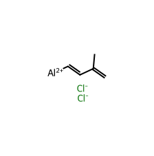 C=C(C)C=[CH][Al+2].[Cl-].[Cl-]